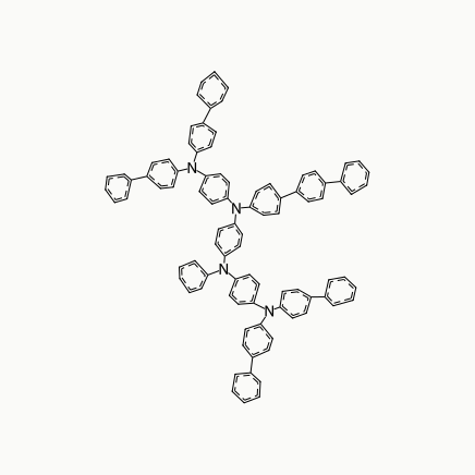 c1ccc(-c2ccc(-c3ccc(N(c4ccc(N(c5ccc(-c6ccccc6)cc5)c5ccc(-c6ccccc6)cc5)cc4)c4ccc(N(c5ccccc5)c5ccc(N(c6ccc(-c7ccccc7)cc6)c6ccc(-c7ccccc7)cc6)cc5)cc4)cc3)cc2)cc1